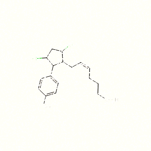 CC(C)(C)c1ccc(C2C(Cl)CC(Cl)C2C/C=C\CCCC(=O)O)cc1